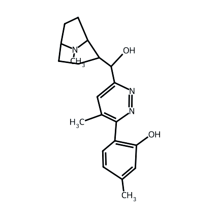 Cc1ccc(-c2nnc(C(O)C3CCC4CCC3N4C)cc2C)c(O)c1